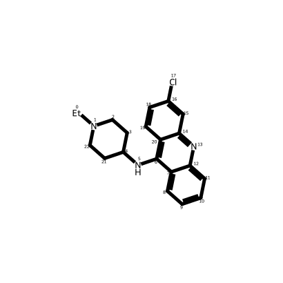 CCN1CCC(Nc2c3ccccc3nc3cc(Cl)ccc23)CC1